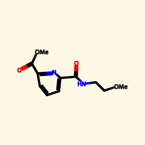 COCCNC(=O)c1cccc(C(=O)OC)n1